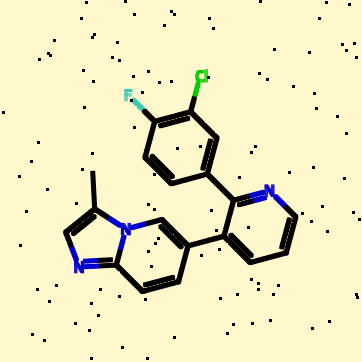 Cc1cnc2ccc(-c3cccnc3-c3ccc(F)c(Cl)c3)cn12